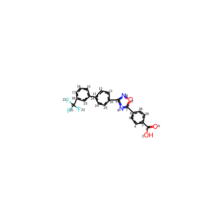 O=C(O)c1ccc(-c2nc(-c3ccc(-c4cccc(C(F)(F)F)c4)cc3)no2)cc1